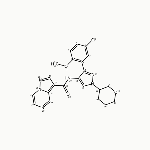 COc1ccc(Cl)cc1-c1nn(C2CCCOC2)cc1NC(=O)c1cnn2ccncc12